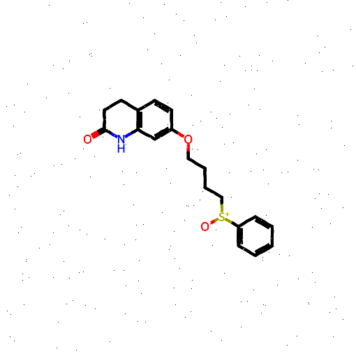 O=C1CCc2ccc(OCCCC[S+]([O-])c3ccccc3)cc2N1